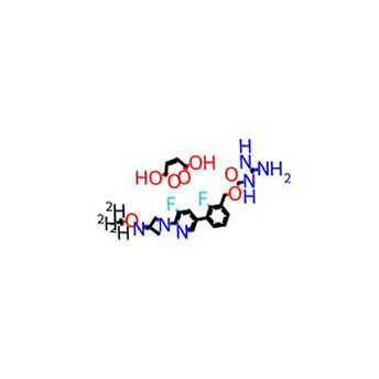 O=C(O)/C=C\C(=O)O.[2H]C([2H])([2H])ON=C1CN(c2ncc(-c3cccc(COC(=O)NC(=N)N)c3F)cc2F)C1